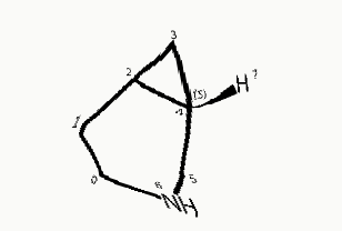 C1CC2C[C@@H]2CN1